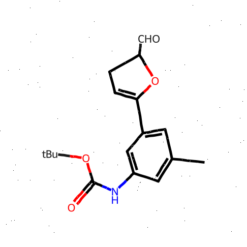 Cc1cc(NC(=O)OC(C)(C)C)cc(C2=CCC(C=O)O2)c1